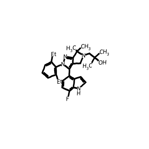 CCc1cccc(CC)c1-n1nc2c(c1-c1ccc(F)c3[nH]ccc13)CN(CC(C)(C)O)C2(C)C